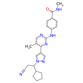 CNC(=O)c1ccc(Nc2ncc(C)c(-c3cnn(C(CC#N)C4CCCC4)c3)n2)cc1